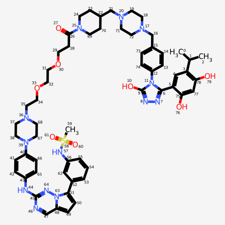 CC(C)c1cc(-c2nnc(O)n2-c2ccc(CN3CCN(CC4CCN(C(=O)CCOCCOCCN5CCN(c6ccc(Nc7ncc8ccc(-c9cccc(NS(C)(=O)=O)c9)n8n7)cc6)CC5)CC4)CC3)cc2)c(O)cc1O